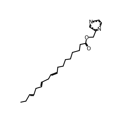 CCC=CCC=CCC=CCCCCCCCC(=O)OCc1cnccn1